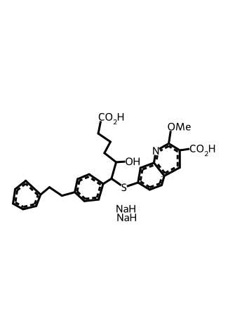 COc1nc2cc(SC(c3ccc(CCc4ccccc4)cc3)C(O)CCCC(=O)O)ccc2cc1C(=O)O.[NaH].[NaH]